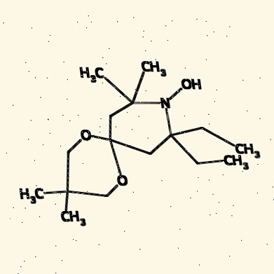 CCC1(CC)CC2(CC(C)(C)N1O)OCC(C)(C)CO2